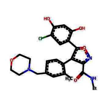 CCNC(=O)c1noc(-c2cc(Cl)c(O)cc2O)c1-c1ccc(CN2CCOCC2)cc1C